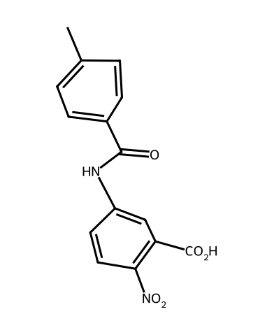 Cc1ccc(C(=O)Nc2ccc([N+](=O)[O-])c(C(=O)O)c2)cc1